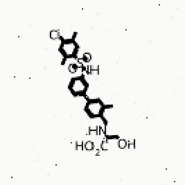 Cc1cc(S(=O)(=O)Nc2cccc(-c3ccc(CN[C@H](CO)C(=O)O)c(C)c3)c2)c(C)cc1Cl